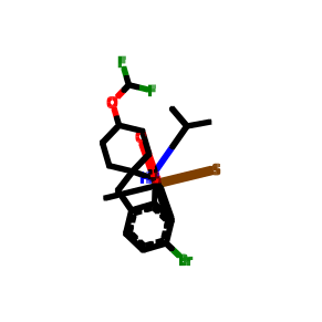 CC(C)N1C(=O)C2(NC1=S)c1cc(Br)ccc1CC21CCC(OC(F)F)CC1